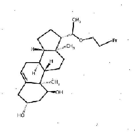 CC(C)CCOC(C)[C@H]1CC[C@H]2[C@@H]3CC=C4C[C@@H](O)C[C@H](O)[C@]4(C)[C@H]3CC[C@]12C